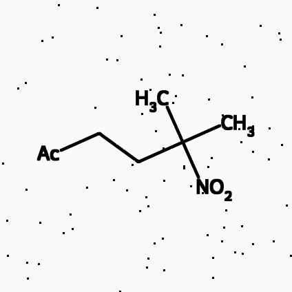 CC(=O)CCC(C)(C)[N+](=O)[O-]